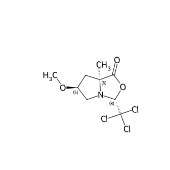 CO[C@@H]1CN2[C@@H](C(Cl)(Cl)Cl)OC(=O)[C@]2(C)C1